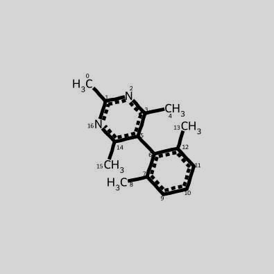 Cc1nc(C)c(-c2c(C)cccc2C)c(C)n1